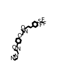 FC(F)(F)Sc1ccc(C=Cc2nc(COc3ccc(-c4nc(Cn5ccnc5)co4)cc3)co2)cc1